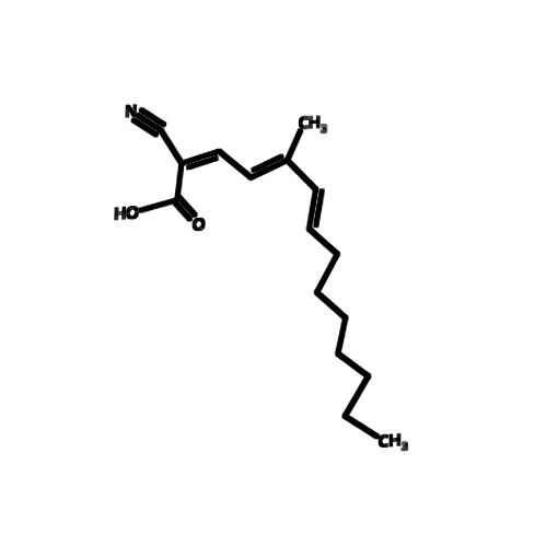 CCCCCCCC=CC(C)=CC=C(C#N)C(=O)O